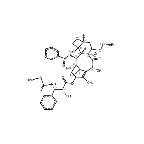 CCCBOC1C[C@H]2OC[C@@]2(OC(C)=O)[C@H]2[C@H](OC(=O)c3ccccc3)[C@]3(O)CC(OC(=O)[C@H](O)[C@@H](NC(=O)OC(C)(C)C)c4ccccc4)C(C)=C([C@@H](O)C(=O)[C@]12C)C3(C)C